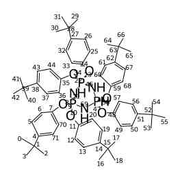 CC(C)(C)c1ccc(OP2(Oc3ccc(C(C)(C)C)cc3)=N[PH](Oc3ccc(C(C)(C)C)cc3)(Oc3ccc(C(C)(C)C)cc3)N[PH](Oc3ccc(C(C)(C)C)cc3)(Oc3ccc(C(C)(C)C)cc3)N2)cc1